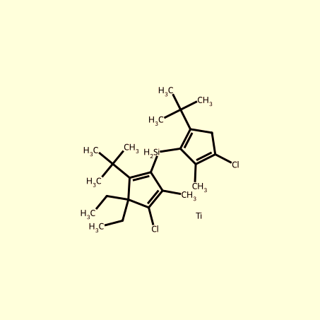 CCC1(CC)C(Cl)=C(C)C([SiH2]C2=C(C(C)(C)C)CC(Cl)=C2C)=C1C(C)(C)C.[Ti]